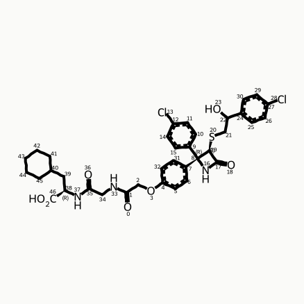 O=C(COc1ccc([C@]2(c3ccc(Cl)cc3)NC(=O)[C@@H]2SCC(O)c2ccc(Cl)cc2)cc1)NCC(=O)N[C@H](CC1CCCCC1)C(=O)O